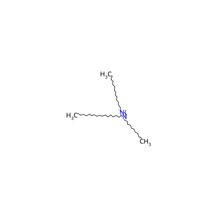 CCCCCCCCCCCCCCCCCc1n(CCCCCCCCCCC)cc[n+]1CCCCCCCCCCCCCCC